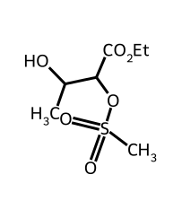 CCOC(=O)C(OS(C)(=O)=O)C(C)O